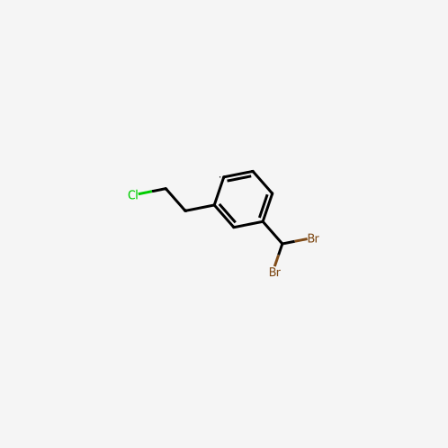 ClCCc1[c]ccc(C(Br)Br)c1